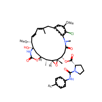 COc1cc2cc(c1Cl)N(C)C(=O)C[C@H](OC(=O)[C@@H]1CCCN1C(=O)Nc1ccc(C(C)=O)cc1)[C@]1(C)O[C@H]1[C@H](C)[C@@H]1C[C@@](O)(NC(=O)O1)[C@H](OC)/C=C/C=C(\C)C2